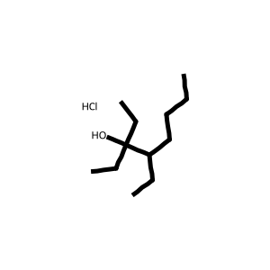 CCCCC(CC)C(O)(CC)CC.Cl